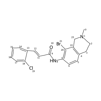 CN1CCc2ccc(NC(=O)/C=C/c3ccccc3Cl)c(Br)c2C1